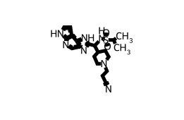 CC(C)S(=O)(=O)NC(c1nc2cnc3[nH]ccc3c2[nH]1)C1CCN(CCC#N)CC1